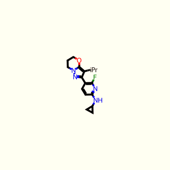 CC(C)c1c(-c2ccc(NC3CC3)nc2F)nn2c1OCCC2